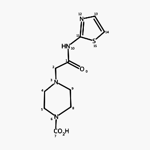 O=C(CN1CCN(C(=O)O)CC1)Nc1nccs1